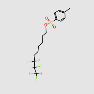 Cc1ccc(S(=O)(=O)OCCCCCCC(F)(F)C(F)(F)C(F)(F)F)cc1